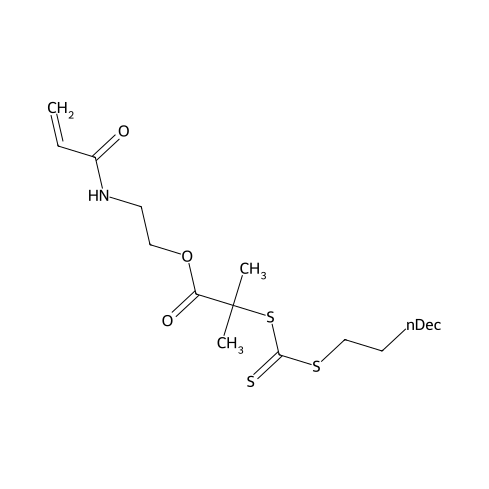 C=CC(=O)NCCOC(=O)C(C)(C)SC(=S)SCCCCCCCCCCCC